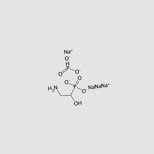 NCC(O)P(=O)([O-])[O-].O=[PH]([O-])[O-].[Na+].[Na+].[Na+].[Na+]